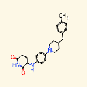 Cc1ccc(CC2CCN(c3ccc(NC4CCC(=O)NC4=O)cc3)CC2)cc1